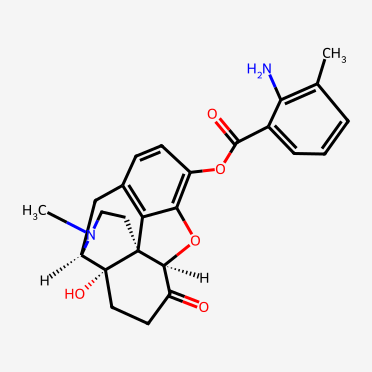 Cc1cccc(C(=O)Oc2ccc3c4c2O[C@H]2C(=O)CC[C@@]5(O)[C@@H](C3)N(C)CC[C@]425)c1N